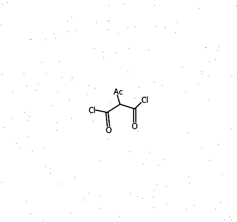 CC(=O)C(C(=O)Cl)C(=O)Cl